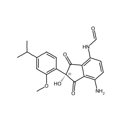 COc1cc(C(C)C)ccc1[C@]1(O)C(=O)c2c(N)ccc(NC=O)c2C1=O